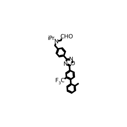 Cc1ccccc1-c1ccc(-c2nc(-c3ccc(CN(CC=O)C(C)C)cc3)no2)cc1C(F)(F)F